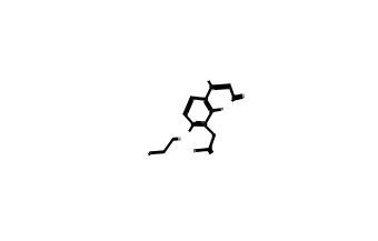 C=C(Cl)Cc1c(OCCCC)ccc2c(C)cc(=O)oc12